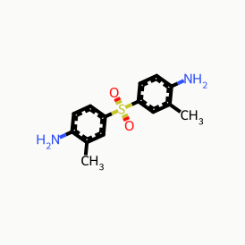 Cc1cc(S(=O)(=O)c2ccc(N)c(C)c2)ccc1N